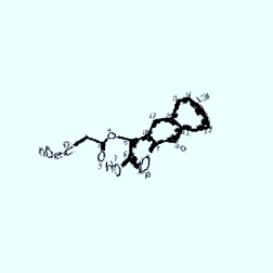 CCCCCCCCCCCC(=O)Oc1c(O)oc2cc3ccccc3cc12